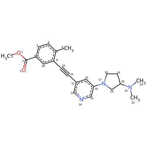 COC(=O)c1ccc(C)c(C#Cc2cncc(N3CCC(N(C)C)C3)c2)c1